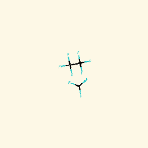 FC(F)(F)C(F)(F)F.FC(F)F